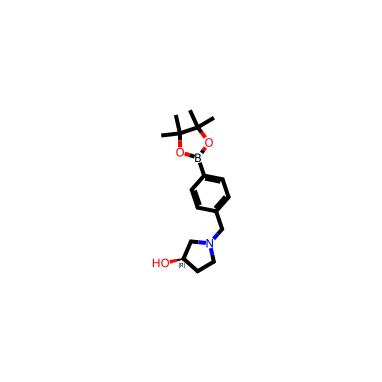 CC1(C)OB(c2ccc(CN3CC[C@@H](O)C3)cc2)OC1(C)C